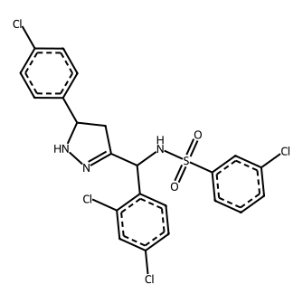 O=S(=O)(NC(C1=NNC(c2ccc(Cl)cc2)C1)c1ccc(Cl)cc1Cl)c1cccc(Cl)c1